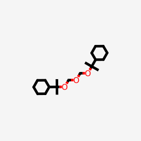 CC(C)(OCOCOC(C)(C)C1CCCCC1)C1CCCCC1